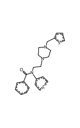 O=C(c1ccccc1)N(CCN1CCN(Cc2cccs2)CC1)c1ccccc1